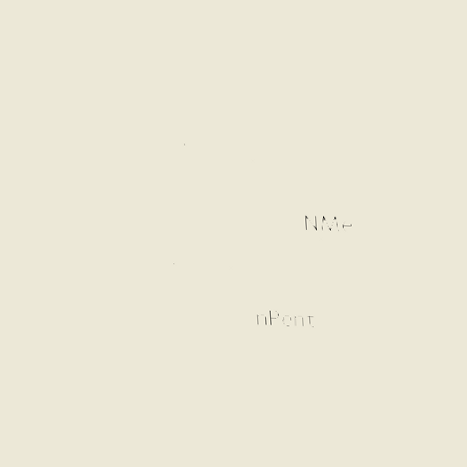 CCCCCc1ccccc1.CNC